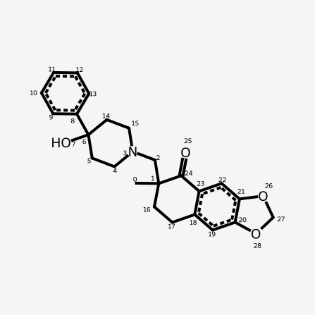 CC1(CN2CCC(O)(c3ccccc3)CC2)CCc2cc3c(cc2C1=O)OCO3